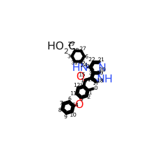 Cc1cc(Oc2ccccc2)ccc1C(=O)c1c[nH]c2nccc(N[C@H]3CC[C@H](C(=O)O)CC3)c12